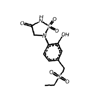 CCS(=O)(=O)Cc1ccc(N2CC(=O)NS2(=O)=O)c(O)c1